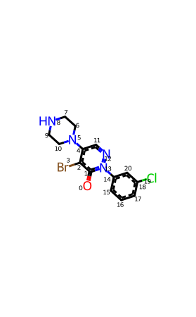 O=c1c(Br)c(N2CCNCC2)cnn1-c1cccc(Cl)c1